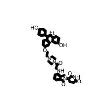 CCC(=C(c1ccc(O)cc1)c1ccc(OCCN2CCN(C(=O)CNc3cccc4c3CN(C3CCC(=O)NC3=O)C4=O)CC2)cc1)c1ccc(O)cc1